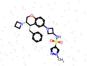 Cn1cc(S(=O)(=O)NC2CN(c3ccc4c(c3)[C@H](Cc3ccccc3)[C@H](N3CCC3)CO4)C2)cn1